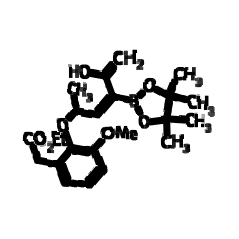 C=C(O)/C(=C\C(C)Oc1c(CC(=O)OCC)cccc1OC)B1OC(C)(C)C(C)(C)O1